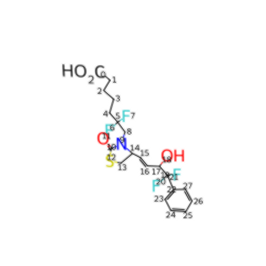 O=C(O)CCCCC(F)(F)CN1C(=O)SCC1C=CC(O)C(F)(F)c1ccccc1